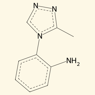 Cc1nncn1-c1ccccc1N